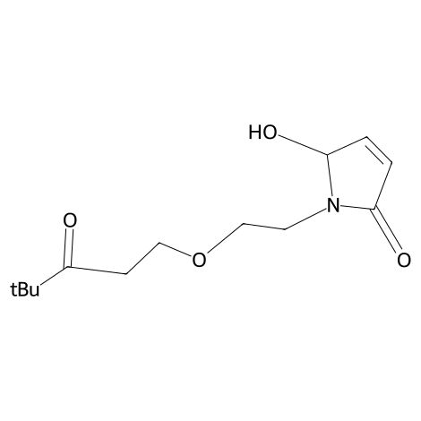 CC(C)(C)C(=O)CCOCCN1C(=O)C=CC1O